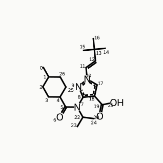 CC1CCC(C(=O)N(c2nn(C=CC(C)(C)C)cc2C(=O)O)C(C)C)CC1